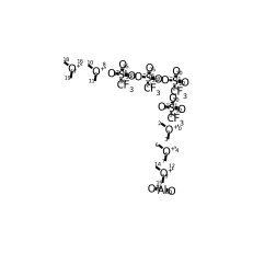 C[O+](C)C.C[O+](C)C.C[O+](C)C.C[O+](C)C.C[O+](C)C.O=S(=O)([O-])C(F)(F)F.O=S(=O)([O-])C(F)(F)F.O=S(=O)([O-])C(F)(F)F.O=S(=O)([O-])C(F)(F)F.[O]=[Al][O-]